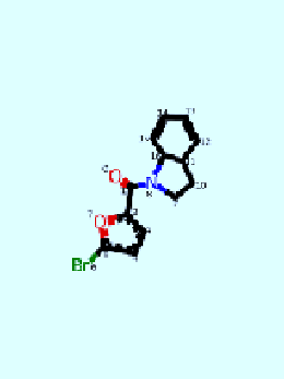 O=C(c1ccc(Br)o1)N1CCC2C=CC=CC21